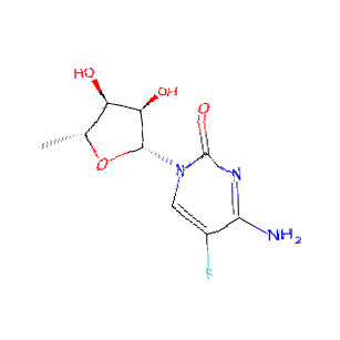 C[C@H]1O[C@@H](n2cc(F)c(N)nc2=O)[C@H](O)[C@@H]1O